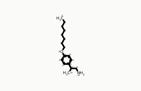 CCCCCCCCOc1ccc(C(C)CN)cc1